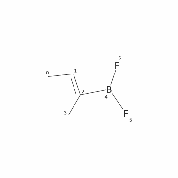 C/C=C(\C)B(F)F